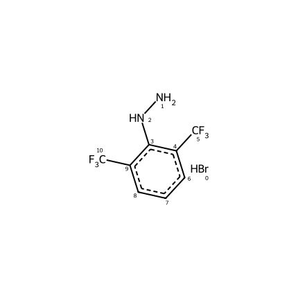 Br.NNc1c(C(F)(F)F)cccc1C(F)(F)F